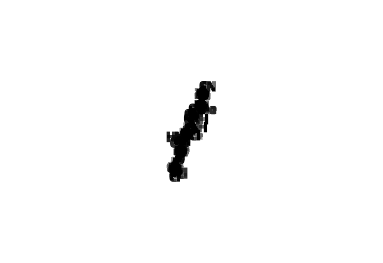 COC(=O)[C@H](Cc1ccc(-c2ccc(C#N)cc2)cc1)NC(=O)C1Cc2cc3c(cc2CN1)O[C@@H](c1ccc(OCc2ccc(Cl)c(Cl)c2)cc1)C(=O)N3.Cl